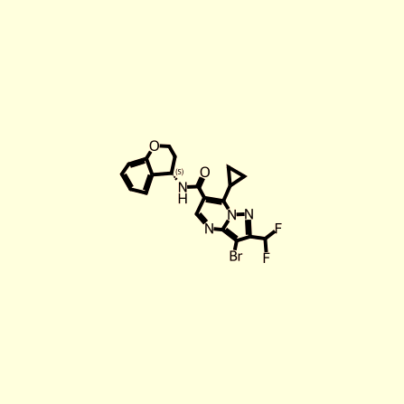 O=C(N[C@H]1CCOc2ccccc21)c1cnc2c(Br)c(C(F)F)nn2c1C1CC1